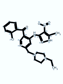 CCN1CCN(Cc2cc(Nc3n[nH]c(C)c3[N+](=O)[O-])c(C(=O)c3ccccc3Cl)cn2)CC1